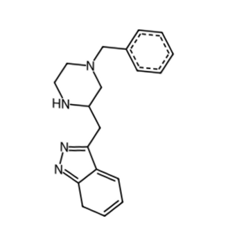 C1=CCC2=NN=C(CC3CN(Cc4ccccc4)CCN3)C2=C1